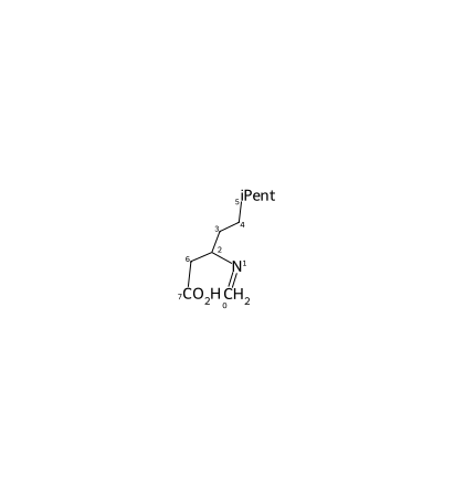 C=NC(CCC(C)CCC)CC(=O)O